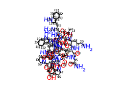 CCCC[C@@H](C(=O)N(C)[C@@H](CCCC)C(=O)N[C@@H](CCCN)C(=O)N[C@@H](CSCC(=O)N[C@@H](Cc1ccc(O)cc1)C(=O)N1CCC[C@H]1C(=O)N[C@@H](CC(N)=O)C(=O)N1CCC[C@H]1C(=O)N[C@@H](Cc1cnc[nH]1)C(=O)N[C@@H](CC(C)C)C(=O)N1C[C@H](O)C[C@H]1C(C)=O)C(=O)NCC(N)=O)N(C)C(=O)[C@H](Cc1c[nH]c2ccccc12)NC(=O)[C@H](CO)NC(=O)[C@@H](N)Cc1c[nH]c2ccccc12